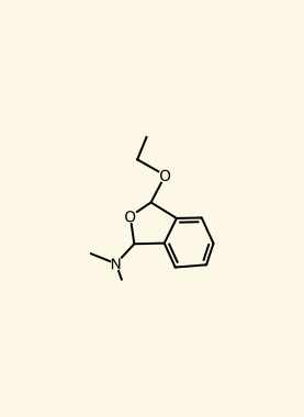 CCOC1OC(N(C)C)c2ccccc21